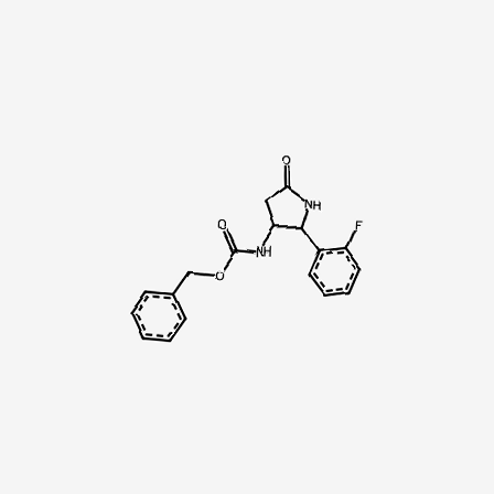 O=C1CC(NC(=O)OCc2ccccc2)C(c2ccccc2F)N1